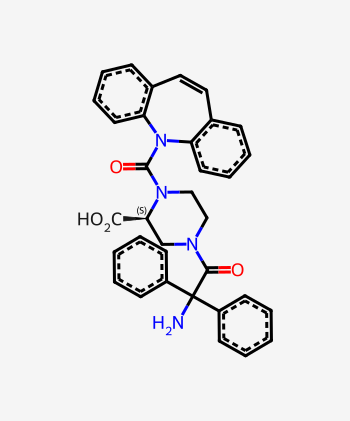 NC(C(=O)N1CCN(C(=O)N2c3ccccc3C=Cc3ccccc32)[C@H](C(=O)O)C1)(c1ccccc1)c1ccccc1